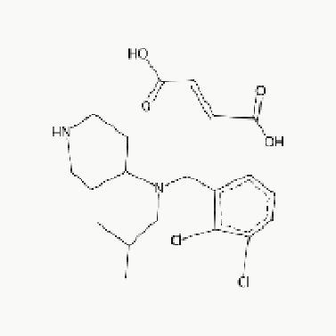 CC(C)CN(Cc1cccc(Cl)c1Cl)C1CCNCC1.O=C(O)/C=C/C(=O)O